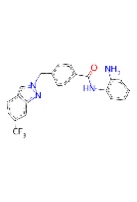 Nc1ccccc1NC(=O)c1ccc(Cn2cc3ccc(C(F)(F)F)cc3n2)cc1